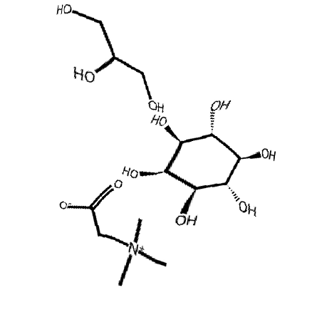 C[N+](C)(C)CC(=O)[O-].OCC(O)CO.O[C@H]1[C@H](O)[C@@H](O)[C@H](O)[C@@H](O)[C@H]1O